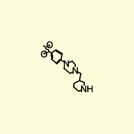 CS(=O)(=O)c1ccc(N2CCN(CC3CCCNC3)CC2)cc1